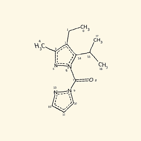 CCc1c(C)nn(C(=O)n2cccn2)c1C(C)C